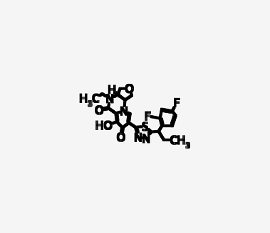 CCC(c1nnc(-c2cn3c(c(O)c2=O)C(=O)N(CC)[C@H]2COCC23)s1)c1ccc(F)cc1F